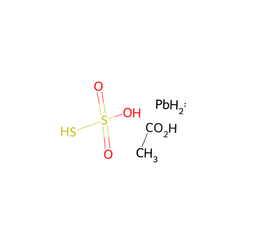 CC(=O)O.O=S(=O)(O)S.[PbH2]